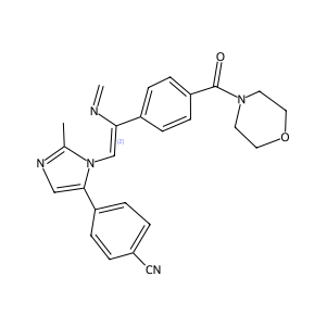 C=N/C(=C\n1c(-c2ccc(C#N)cc2)cnc1C)c1ccc(C(=O)N2CCOCC2)cc1